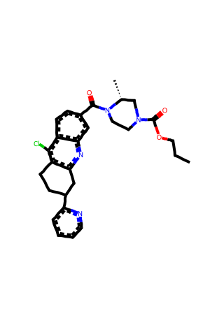 CCCOC(=O)N1CCN(C(=O)c2ccc3c(Cl)c4c(nc3c2)CC(c2ccccn2)CC4)[C@H](C)C1